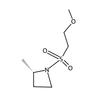 COCCS(=O)(=O)N1CC[C@@H]1C